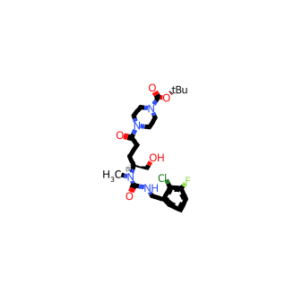 CN(C(=O)NCc1cccc(F)c1Cl)[C@H](CO)CCC(=O)N1CCN(C(=O)OC(C)(C)C)CC1